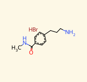 Br.CNC(=O)c1ccc(CCCN)cc1